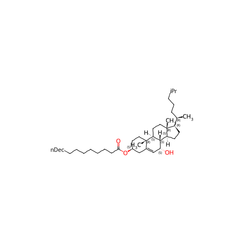 CCCCCCCCCCCCCCCCCC(=O)O[C@H]1CC[C@@]2(C)C(=C[C@@H](O)[C@H]3[C@@H]4CC[C@H]([C@H](C)CCCC(C)C)[C@@]4(C)CC[C@@H]32)C1